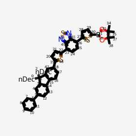 CCCCCCCCCCC1(CCCCCCCCCC)c2cc(-c3ccccc3)ccc2-c2ccc(-c3ccc(-c4ccc(-c5ccc(B6OC(C)(C)C(C)(C)O6)s5)c5nsnc45)s3)cc21